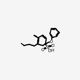 CCCCC1=C(C)C=CC(Oc2ccccc2)(S(=O)(=O)O)C1